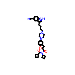 N#Cc1ccc2[nH]cc(CCCCN3CCN(c4ccc5oc(C(=O)N(C(=O)C6CCC6)C6CCC6)cc5c4)CC3)c2c1